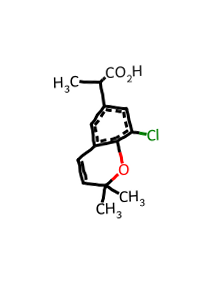 CC(C(=O)O)c1cc(Cl)c2c(c1)C=CC(C)(C)O2